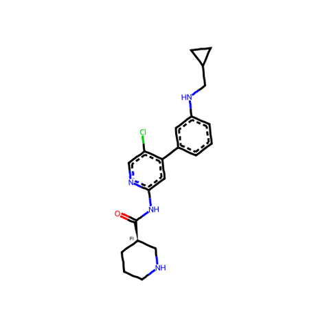 O=C(Nc1cc(-c2cccc(NCC3CC3)c2)c(Cl)cn1)[C@@H]1CCCNC1